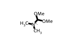 COC(OC)[N+](C)C